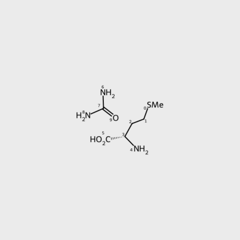 CSCC[C@H](N)C(=O)O.NC(N)=O